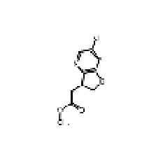 COC(=O)CC1COc2cc(Cl)cnc21